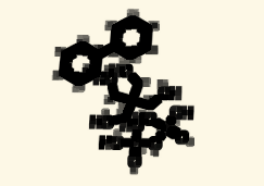 O=P(O)(O)OP(=O)(O)O.OCC(CO)(CO)CO.c1ccc(-c2ccccc2)cc1